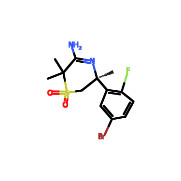 CC1(C)C(N)=N[C@@](C)(c2cc(Br)ccc2F)CS1(=O)=O